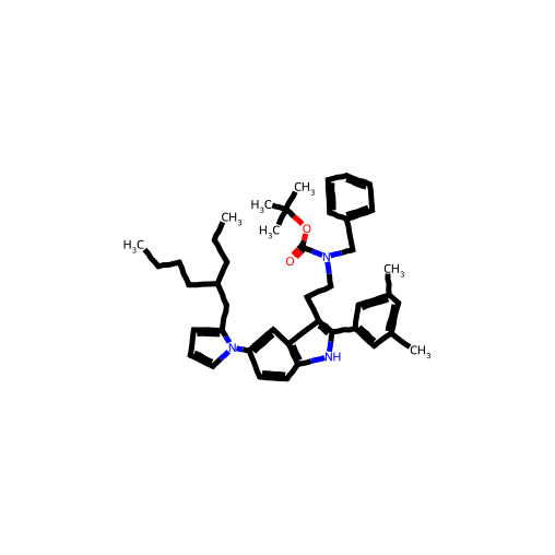 CCCCC(CCC)Cc1cccn1-c1ccc2[nH]c(-c3cc(C)cc(C)c3)c(CCN(Cc3ccccc3)C(=O)OC(C)(C)C)c2c1